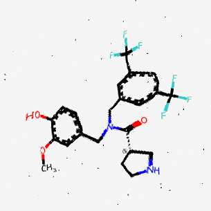 COc1cc(CN(Cc2cc(C(F)(F)F)cc(C(F)(F)F)c2)C(=O)[C@H]2CCNC2)ccc1O